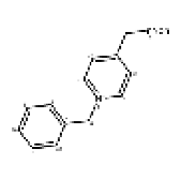 CCCCCCCCCCc1cc[n+](Cc2ccccc2)cc1